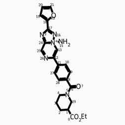 CCOC(=O)C1CCCN(C(=O)c2ccc(C3=C[N+]4(N)N=C(c5ccco5)N=C4C=N3)cc2)C1